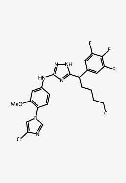 COc1cc(Nc2n[nH]c(C(CCCCCl)c3cc(F)c(F)c(F)c3)n2)ccc1-n1cnc(Cl)c1